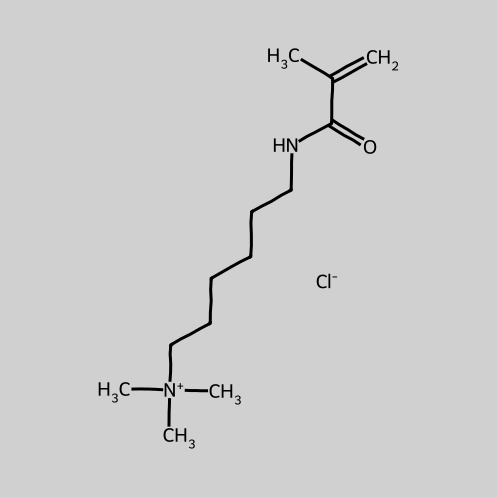 C=C(C)C(=O)NCCCCCC[N+](C)(C)C.[Cl-]